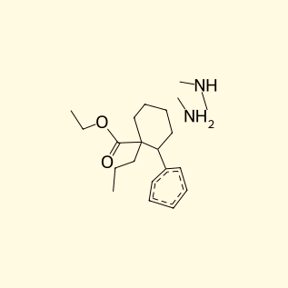 CCCC1(C(=O)OCC)CCCCC1c1ccccc1.CN.CNC